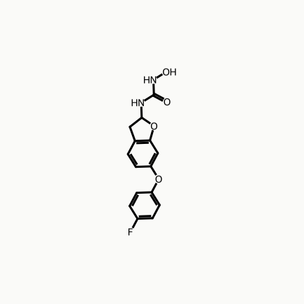 O=C(NO)NC1Cc2ccc(Oc3ccc(F)cc3)cc2O1